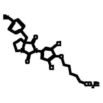 CCOC(=O)CCCCCOc1c(Cl)cc(N2C(=O)N3CCCC3(Cc3ccc(Br)cc3)C2=O)cc1Cl